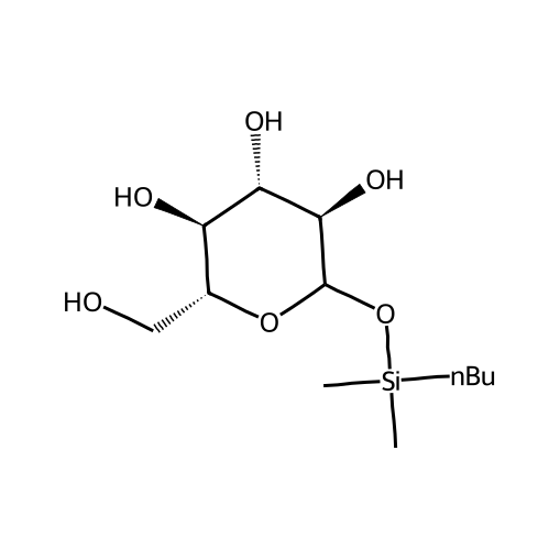 CCCC[Si](C)(C)OC1O[C@H](CO)[C@@H](O)[C@H](O)[C@H]1O